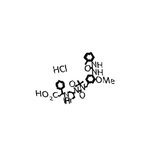 COc1cc(CN2C(=O)N(C(CNC(CC(=O)O)c3ccccc3)CC(C)C)C(=O)C2(C)C)ccc1NC(=O)Nc1ccccc1C.Cl